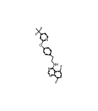 CC(F)(F)c1ccnc(Oc2ccc(CCNc3ncnc4c(F)ccc(F)c34)cc2)c1